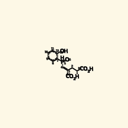 O=C(O)CCC(=C[PH](=O)c1ccccc1O)C(=O)O